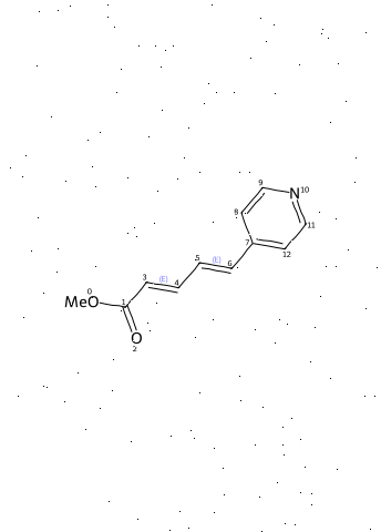 COC(=O)/C=C/C=C/c1ccncc1